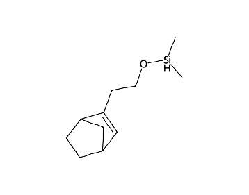 C[SiH](C)OCCC1=CC2CCC1C2